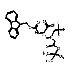 CC(C)(C)OC(=O)CN(C[C@H](NC(=O)OCC1c2ccccc2-c2ccccc21)C(=O)O)CC(F)(F)F